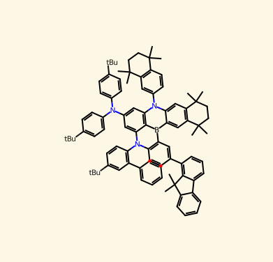 CC(C)(C)c1ccc(N(c2ccc(C(C)(C)C)cc2)c2cc3c4c(c2)N(c2ccc(C(C)(C)C)cc2-c2ccccc2)c2ccc(-c5cccc6c5C(C)(C)c5ccccc5-6)cc2B4c2cc4c(cc2N3c2ccc3c(c2)C(C)(C)CCC3(C)C)C(C)(C)CCC4(C)C)cc1